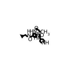 C[C@H]1CC(=O)Nc2cc(C(=O)NCCC3CC3)ccc2N1C(=O)NC1CCNCC1